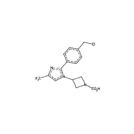 O=C(O)N1CC(n2cc(C(F)(F)F)nc2-c2ccc(CCl)cc2)C1